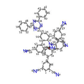 N#Cc1cc(C#N)cc(-c2ccc3c(c2)c2ccccc2n3-c2c(-c3cc(C#N)cc(C#N)c3)cc(-c3nc(-c4ccccc4)nc(-c4ccccc4)n3)cc2-c2cc(C#N)ccc2C#N)c1